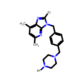 CCc1nc2c(C)cc(C)nc2n1Cc1ccc(CN2CCN(C(C)C)CC2)cc1